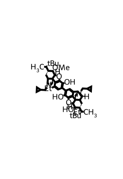 CCc1cc(-c2cc3c4c(c2O)O[C@H]2C(O)(CC)[C@@H]([C@@H](C)C(C)(C)C)CC5[C@@H](C3)N(CC3CC3)CC[C@@]452)c(O)c2c1[C@]13CCN(CC4CC4)CC1C[C@H]([C@@H](C)C(C)(C)C)[C@@H](OC)[C@@H]3O2